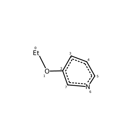 CCOc1[c]ccnc1